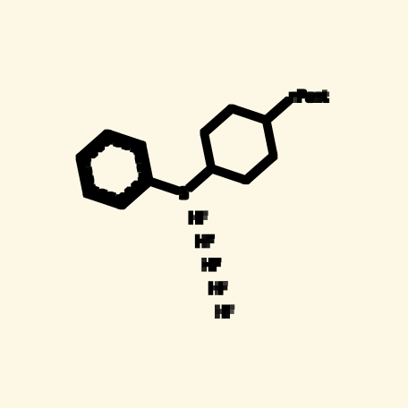 CCCCCC1CCC(Sc2ccccc2)CC1.F.F.F.F.F